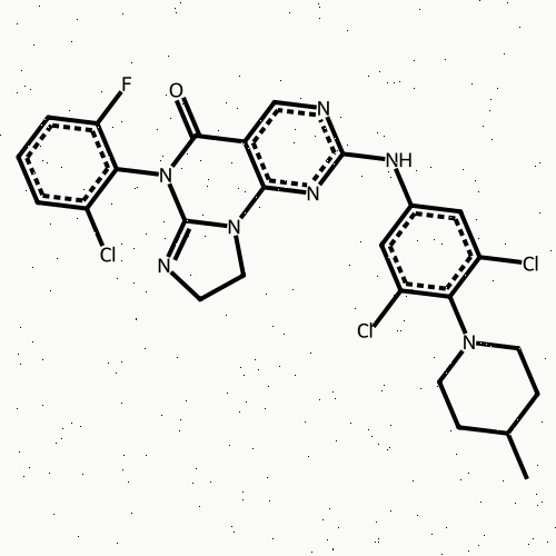 CC1CCN(c2c(Cl)cc(Nc3ncc4c(n3)N3CCN=C3N(c3c(F)cccc3Cl)C4=O)cc2Cl)CC1